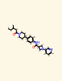 CCC(C)CC(=O)N1CCC(c2ccc(NC(=O)C3CN(c4cccnc4)C3)cc2)CC1